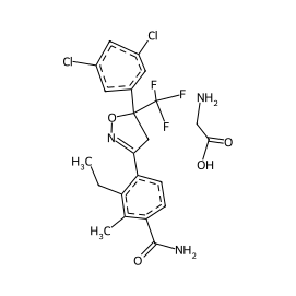 CCc1c(C2=NOC(c3cc(Cl)cc(Cl)c3)(C(F)(F)F)C2)ccc(C(N)=O)c1C.NCC(=O)O